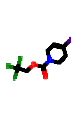 O=C(OCC(F)(F)F)N1CC=C(I)CC1